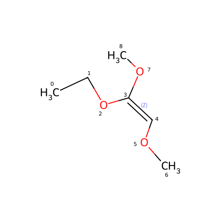 CCO/C(=C\OC)OC